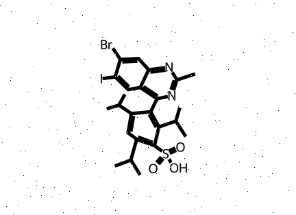 Cc1nc(-c2c(C(C)C)cc(C(C)C)c(S(=O)(=O)O)c2C(C)C)c2cc(I)c(Br)cc2n1